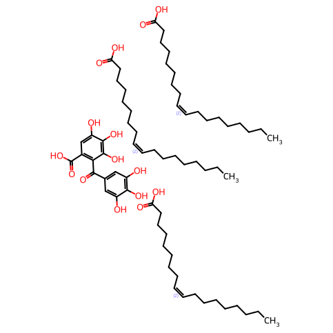 CCCCCCCC/C=C\CCCCCCCC(=O)O.CCCCCCCC/C=C\CCCCCCCC(=O)O.CCCCCCCC/C=C\CCCCCCCC(=O)O.O=C(O)c1cc(O)c(O)c(O)c1C(=O)c1cc(O)c(O)c(O)c1